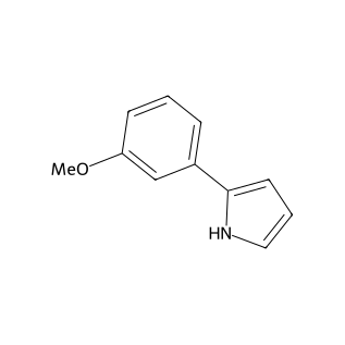 COc1cccc(-c2ccc[nH]2)c1